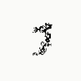 Cn1cc(-c2cn3nccc3c(N3CCC4(CC(NC(=O)c5noc(C(C)(C)C)n5)C4)C3)n2)cn1